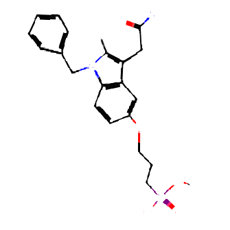 CCOP(=O)(O)CCCOc1ccc2c(c1)c(CC(N)=O)c(CC)n2Cc1ccccc1